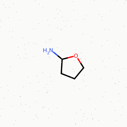 NC1CCCO1